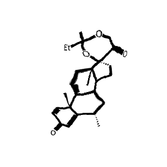 CCC1(C)OCC(=O)[C@]2(CCC3C4C[C@H](C)C5=CC(=O)C=C[C@]5(C)C4=CC[C@@]32C)O1